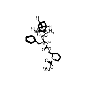 CC(C)(C)OC(=O)N1CCCC1COC(=O)N[C@@H](Cc1ccccc1)B1O[C@@H]2C[C@@H]3C[C@@H](C3(C)C)[C@]2(C)O1